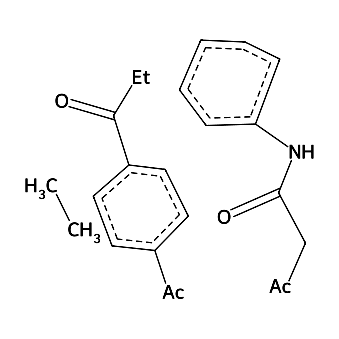 CC.CC(=O)CC(=O)Nc1ccccc1.CCC(=O)c1ccc(C(C)=O)cc1